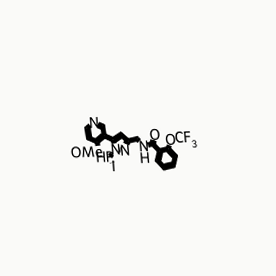 COc1ccncc1-c1cc(CNC(=O)c2ccccc2OC(F)(F)F)nn1PI